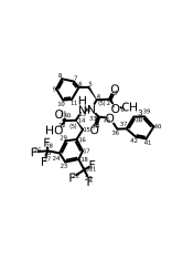 COC(=O)[C@H](Cc1ccccc1)N(N[C@@H](Cc1cc(C(F)(F)F)cc(C(F)(F)F)c1)C(=O)O)C(=O)OCc1ccccc1